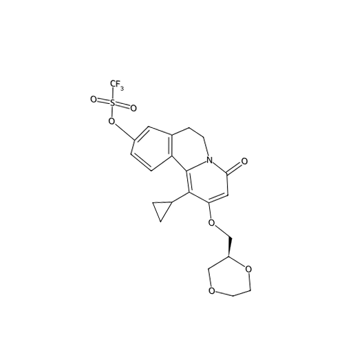 O=c1cc(OC[C@@H]2COCCO2)c(C2CC2)c2n1CCc1cc(OS(=O)(=O)C(F)(F)F)ccc1-2